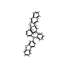 c1ccc(N(c2ccc3c(c2)oc2ccccc23)c2ccccc2-c2ccc3oc4cc5ccccc5cc4c3c2)cc1